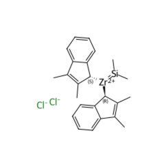 CC1=C(C)[C@@H]([Zr+2]([C@H]2C(C)=C(C)c3ccccc32)=[Si](C)C)c2ccccc21.[Cl-].[Cl-]